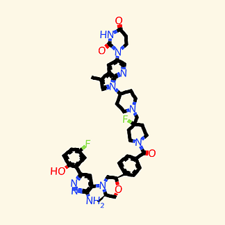 Cc1cn(C2CCN(CC3(F)CCN(C(=O)c4ccc([C@@H]5CN(c6cc(-c7cc(F)ccc7O)nnc6N)[C@H](C)CO5)cc4)CC3)CC2)c2ncc(N3CCC(=O)NC3=O)cc12